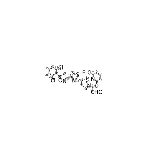 O=CC(Oc1cccc(C(F)(F)F)n1)N1CCC(c2nc(C3=NO[C@H](c4c(Cl)cccc4Cl)C3)cs2)CC1